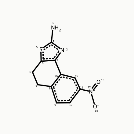 Nc1nc2c(s1)CCc1ccc([N+](=O)[O-])cc1-2